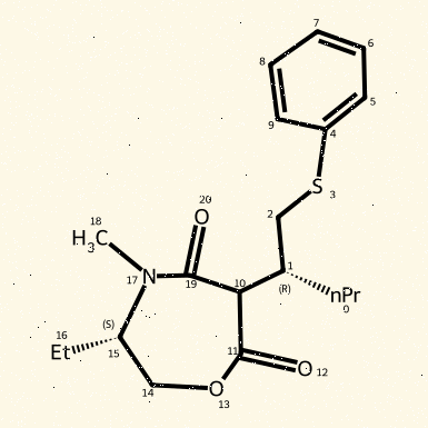 CCC[C@@H](CSc1ccccc1)C1C(=O)OC[C@H](CC)N(C)C1=O